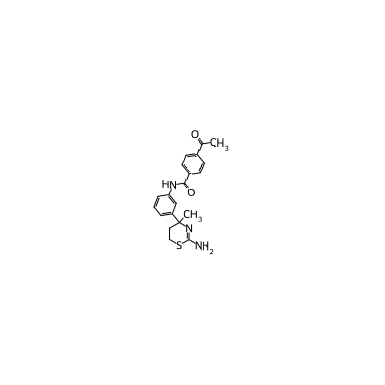 CC(=O)c1ccc(C(=O)Nc2cccc(C3(C)CCSC(N)=N3)c2)cc1